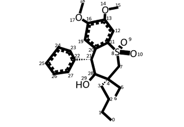 CCCC[C@@]1(CC)CS(=O)(=O)c2cc(OC)c(OC)cc2[C@@H](c2ccccc2)C1O